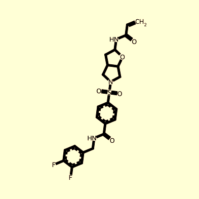 C=CC(=O)NC1CC2CN(S(=O)(=O)c3ccc(C(=O)NCc4ccc(F)c(F)c4)cc3)CC2O1